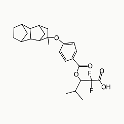 CC(C)C(OC(=O)c1ccc(OC2(C)CC3CC2C2C4CCC(C4)C32)cc1)C(F)(F)C(=O)O